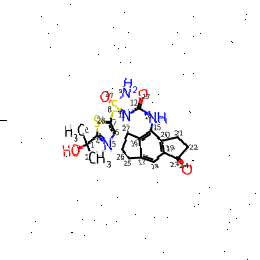 CC(C)(O)c1ncc([S@@](N)(=O)=NC(=O)Nc2c3c(cc4c2CCC4=O)CCC3)s1